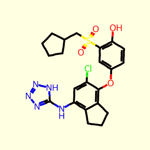 O=S(=O)(CC1CCCC1)c1cc(Oc2c(Cl)cc(Nc3nnn[nH]3)c3c2CCC3)ccc1O